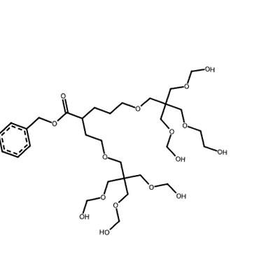 O=C(OCc1ccccc1)C(CCCOCC(COCO)(COCO)COCCO)CCOCC(COCO)(COCO)COCO